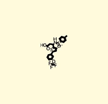 Cc1ccc([S@@+]([O-])NC(CC(=O)O)c2ccc(-c3cccc(OC(F)(F)F)c3)s2)cc1